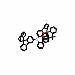 CC1(C)c2ccccc2C2(c3ccccc3-c3ccc(N(c4ccc5c(c4)-c4ccccc4C54C5CC6CC(C5)C4C6)c4ccccc4-c4ccccc4)cc32)c2ccccc21